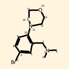 CN(C)Cc1cc(Br)ccc1N1CCOCC1